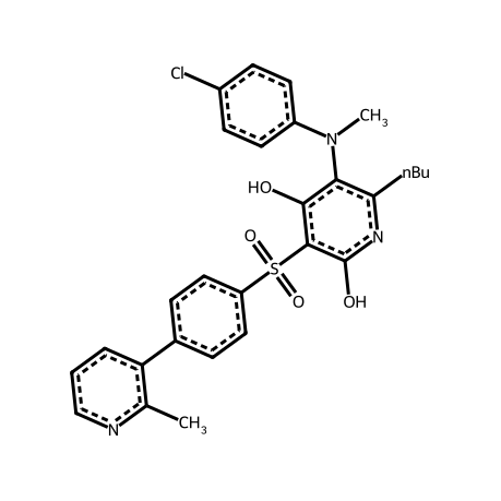 CCCCc1nc(O)c(S(=O)(=O)c2ccc(-c3cccnc3C)cc2)c(O)c1N(C)c1ccc(Cl)cc1